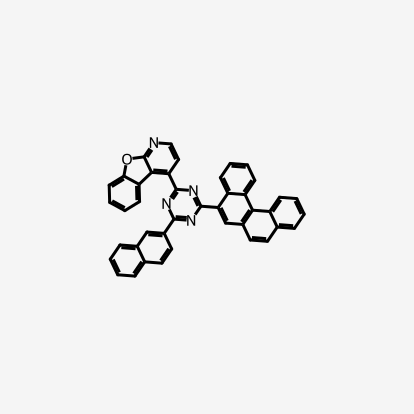 c1ccc2cc(-c3nc(-c4cc5ccc6ccccc6c5c5ccccc45)nc(-c4ccnc5oc6ccccc6c45)n3)ccc2c1